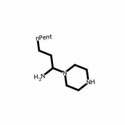 CCCCCCCC(N)N1CCNCC1